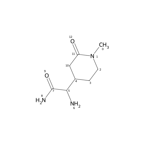 CN1CCC(C(N)C(N)=O)CC1=O